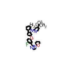 CC(C)(C)c1ccnc(-n2c3ccccc3c3ccc(Oc4ccc(F)c(-c5nccn5C5CCCCO5)c4)cc32)c1